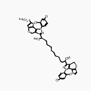 O=S(=O)(O)c1cc2c(s1)-c1c(c(C(O)CCCCCCCCC(O)c3nn(-c4ccc(Cl)cc4Cl)c4c3COc3ccsc3-4)nn1-c1ccc(Cl)cc1Cl)CO2